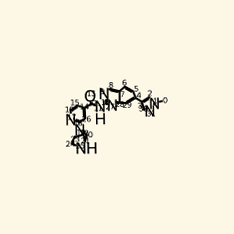 Cn1cc(-c2ccc3cnc(NC(=O)c4ccnc(N5CC6CC5CN6)c4)nc3c2)cn1